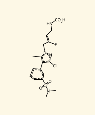 Cc1c(-c2cccc(S(=O)(=O)N(C)C)c2)c(Cl)nn1C/C(F)=C/CNC(=O)O